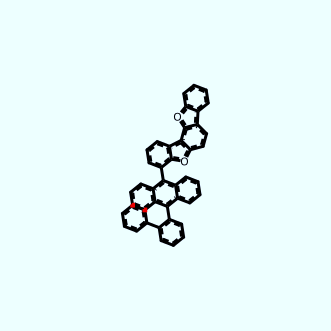 c1ccc(-c2ccccc2-c2c3ccccc3c(-c3cccc4c3oc3ccc5c6ccccc6oc5c34)c3ccccc23)cc1